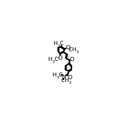 COc1ccc(C)c(OC)c1/C=C/C(=O)c1ccc(C(=O)N(C)C)cc1